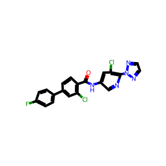 O=C(Nc1cnc(-n2nccn2)c(Cl)c1)c1ccc(-c2ccc(F)cc2)cc1Cl